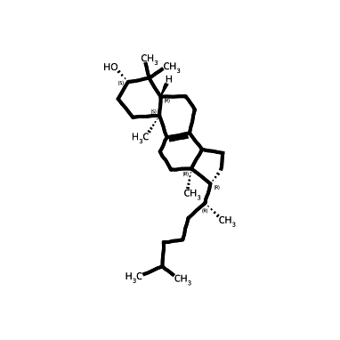 CC(C)CCC[C@@H](C)[C@H]1CCC2C3=C(CC[C@@]21C)[C@@]1(C)CC[C@H](O)C(C)(C)[C@@H]1CC3